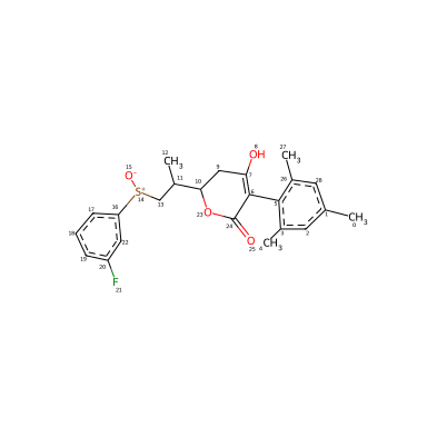 Cc1cc(C)c(C2=C(O)CC(C(C)C[S+]([O-])c3cccc(F)c3)OC2=O)c(C)c1